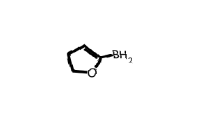 BC1=CCCO1